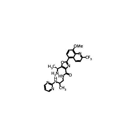 COc1ccc(-c2nc(C(=O)NCC(C)Nc3ncccn3)c([C@H](C)N)o2)c2ccc(C(F)(F)F)nc12